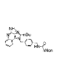 CCCCCCCCCC(=O)NCc1ccc(Cn2c(CCCC)nc3c(N)nc4ccccc4c32)cc1